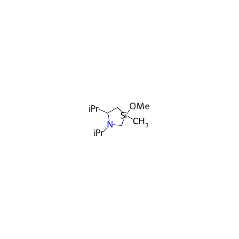 CO[Si]1(C)CC(C(C)C)N(C(C)C)C1